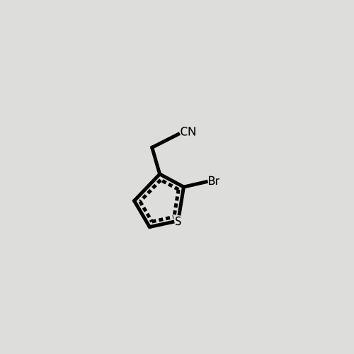 N#CCc1ccsc1Br